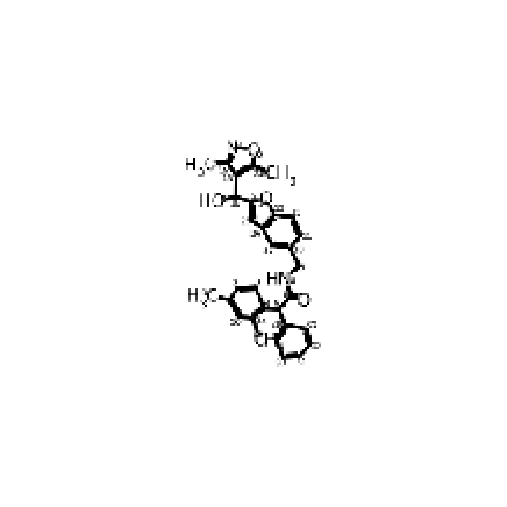 Cc1ccc(C(C(=O)NCc2ccc3oc(C(O)c4c(C)noc4C)cc3c2)c2ccccc2)c(C)c1